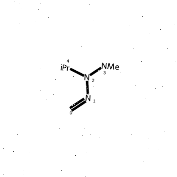 C=NN(NC)C(C)C